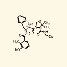 Cc1c(O)cccc1C(=O)N[C@@H](Cc1ccccc1)[C@H](O)C(=O)N1CSC(C)(C)[C@H]1C(=O)NCC#N